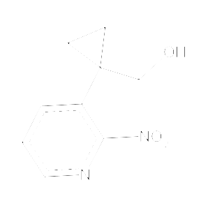 O=[N+]([O-])c1ncccc1C1(CO)CC1